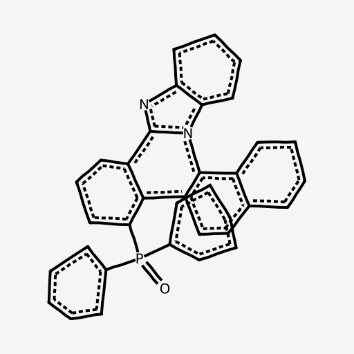 O=P(c1ccccc1)(c1ccccc1)c1cccc2c1c1ccc3ccccc3c1n1c3ccccc3nc21